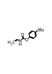 C=CNC(=O)Oc1ccc(C(C)(C)C)cc1